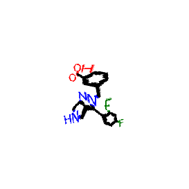 O=C(O)c1cccc(Cn2nc3c(c2-c2ccc(F)cc2F)CNC3)c1